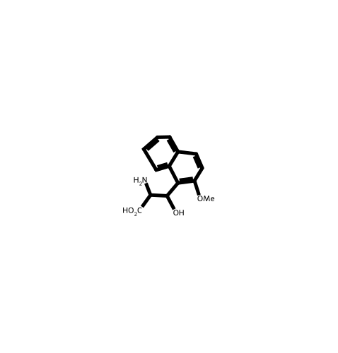 COc1ccc2ccccc2c1C(O)C(N)C(=O)O